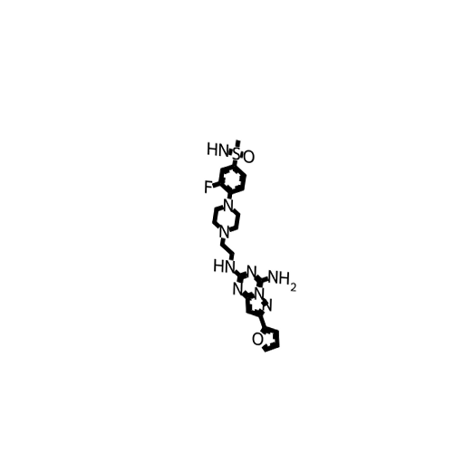 CS(=N)(=O)c1ccc(N2CCN(CCNc3nc(N)n4nc(-c5ccco5)cc4n3)CC2)c(F)c1